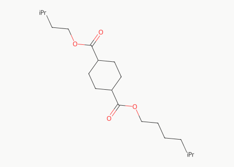 CC(C)CCCCOC(=O)C1CCC(C(=O)OCCC(C)C)CC1